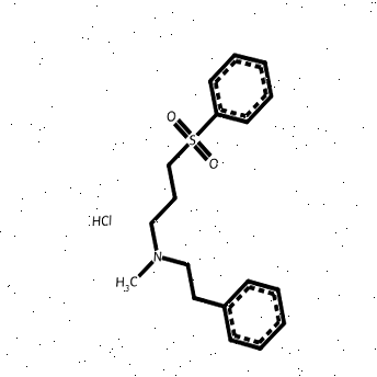 CN(CCCS(=O)(=O)c1ccccc1)CCc1ccccc1.Cl